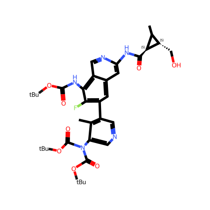 Cc1c(-c2cc3cc(NC(=O)[C@H]4C(C)[C@@H]4CO)ncc3c(NC(=O)OC(C)(C)C)c2F)cncc1N(C(=O)OC(C)(C)C)C(=O)OC(C)(C)C